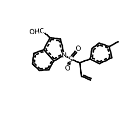 C=CC(c1ccc(C)cc1)S(=O)(=O)n1cc(C=O)c2ccccc21